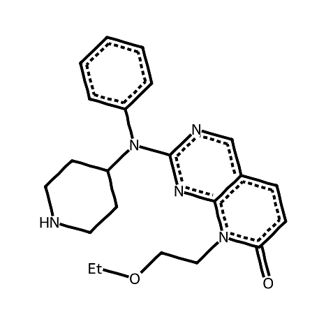 CCOCCn1c(=O)ccc2cnc(N(c3ccccc3)C3CCNCC3)nc21